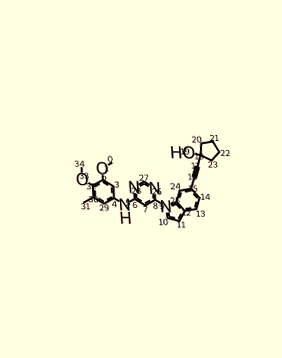 COc1cc(Nc2cc(-n3ccc4ccc(C#CC5(O)CCCC5)cc43)ncn2)cc(C)c1OC